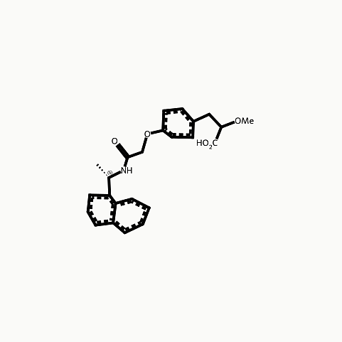 COC(Cc1ccc(OCC(=O)N[C@@H](C)c2cccc3ccccc23)cc1)C(=O)O